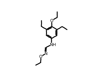 CCO/N=C/Nc1cc(CC)c(OCC)c(CC)c1